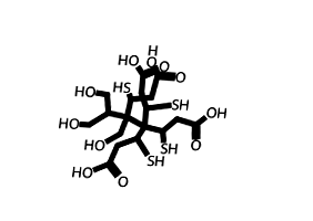 O=C(O)CC(S)C(CO)(C(CO)CO)C(C(S)CC(=O)O)(C(S)CC(=O)O)C(S)CC(=O)O